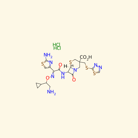 Cl.Cl.NCC(ON=C(C(=O)NC1C(=O)N2CC(CSc3nncs3)(C(=O)O)CS[C@H]12)c1csc(N)n1)C1CC1